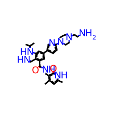 Cc1cc(C)c(CNC(=O)c2cc(-c3ccc(N4CCN(CCN)CC4)nc3)cc(NC(C)C)c2C=N)c(=O)[nH]1